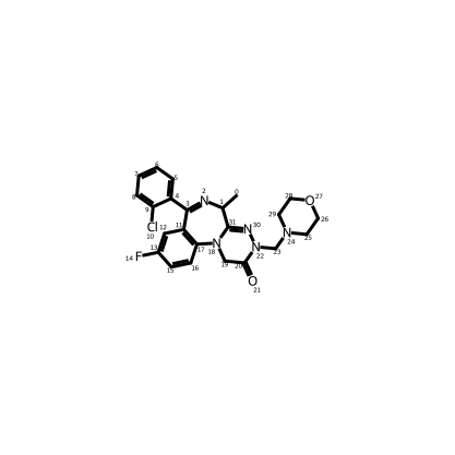 CC1N=C(c2ccccc2Cl)c2cc(F)ccc2N2CC(=O)N(CN3CCOCC3)N=C12